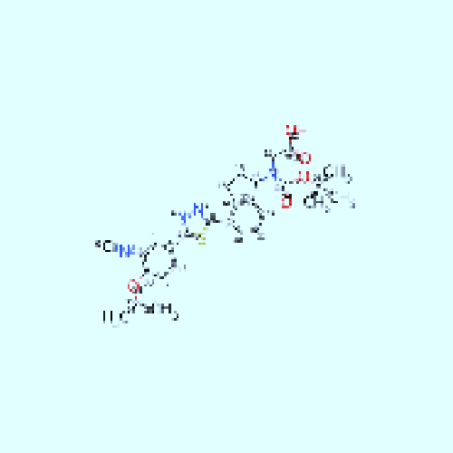 [C-]#[N+]c1cc(-c2nnc(-c3cccc4c3CC[C@H]4N(CC(=O)O)C(=O)OC(C)(C)C)s2)ccc1OC(C)C